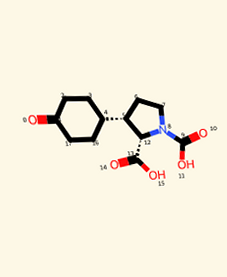 O=C1CCC([C@@H]2CCN(C(=O)O)[C@@H]2C(=O)O)CC1